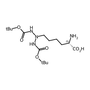 CC(C)(C)OC(=O)NN(CCCC[C@H](N)C(=O)O)NC(=O)OC(C)(C)C